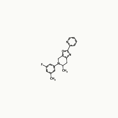 Cc1cc(F)cc(N2Cc3oc(-c4ccccn4)nc3CC2C)c1